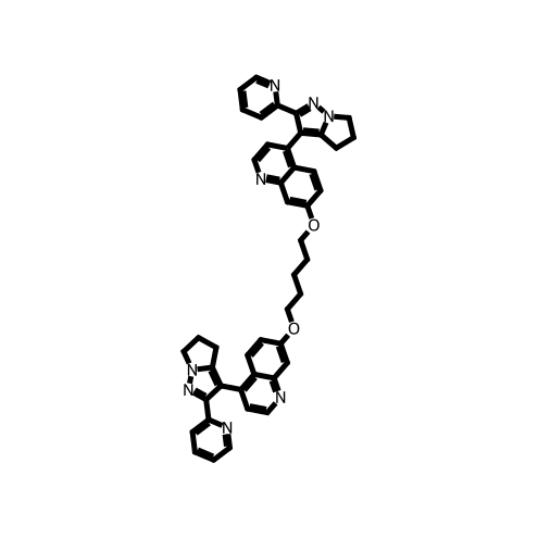 c1ccc(-c2nn3c(c2-c2ccnc4cc(OCCCCCOc5ccc6c(-c7c(-c8ccccn8)nn8c7CCC8)ccnc6c5)ccc24)CCC3)nc1